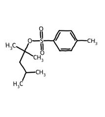 Cc1ccc(S(=O)(=O)OC(C)(C)CC(C)C)cc1